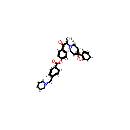 CC(C(=O)c1ccc(OC(=O)c2ccc(CN3CCCCC3)cc2)cc1)N1CCC(O)(c2ccccc2)CC1